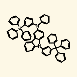 c1ccc(N(c2cccc([Si](c3ccccc3)(c3ccccc3)c3ccccc3)c2)c2ccc3c(c2)c2ccccc2n3-c2cccc(C(c3ccccc3)(c3ccccc3)c3ccccc3)c2)cc1